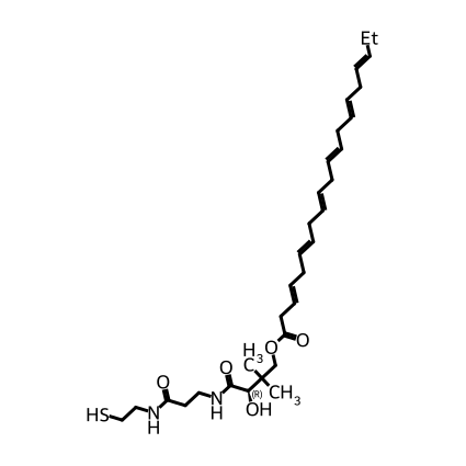 CCC=CCC=CCC=CCC=CCC=CCC=CCC(=O)OCC(C)(C)[C@@H](O)C(=O)NCCC(=O)NCCS